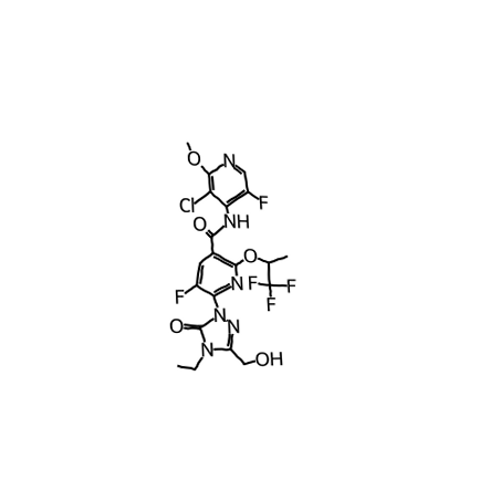 CCn1c(CO)nn(-c2nc(OC(C)C(F)(F)F)c(C(=O)Nc3c(F)cnc(OC)c3Cl)cc2F)c1=O